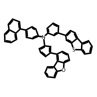 c1cc(-c2ccc3c(c2)sc2ccccc23)cc(N(c2ccc(-c3cccc4ccccc34)cc2)c2cccc(-c3cccc4oc5ccccc5c34)c2)c1